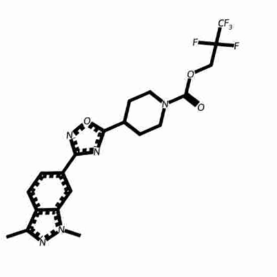 Cc1nn(C)c2cc(-c3noc(C4CCN(C(=O)OCC(F)(F)C(F)(F)F)CC4)n3)ccc12